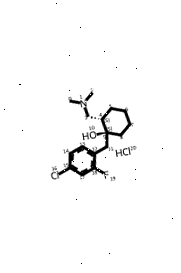 CN(C)C[C@@H]1CCCC[C@]1(O)Cc1ccc(Cl)cc1F.Cl